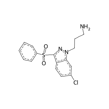 NCCCn1nc(S(=O)(=O)c2ccccc2)c2ccc(Cl)cc21